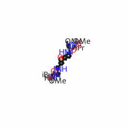 CC[C@H](C)C(NC(=O)OC)C(=O)N1[C@@H](C)CC[C@H]1c1ncc(-c2ccc3c(c2)COc2cc4c(ccc5nc([C@@H]6C[C@H](COC)CN6C(=O)[C@@H](NC(=O)OC)C(C)C)[nH]c54)cc2-3)[nH]1